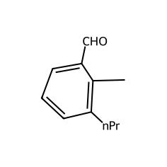 CCCc1cccc(C=O)c1C